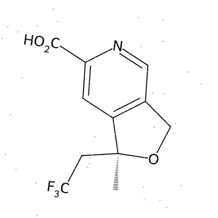 C[C@@]1(CC(F)(F)F)OCc2cnc(C(=O)O)cc21